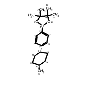 CC1(C)OB(c2ccc([C@H]3CC[C@H](C)CC3)cc2)OC1(C)C